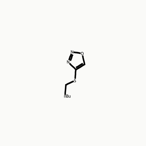 CCCCCSc1conn1